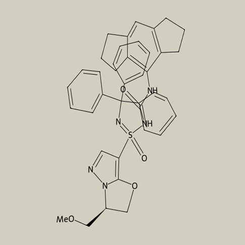 COC[C@@H]1COc2c(S(=O)(=NC(c3ccccc3)(c3ccccc3)c3ccccc3)NC(=O)Nc3c4c(cc5c3CCC5)CCC4)cnn21